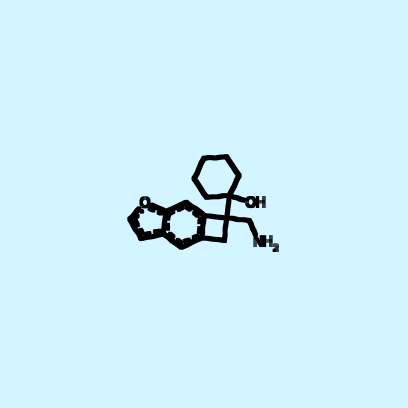 NCC1(C2(O)CCCCC2)Cc2cc3ccoc3cc21